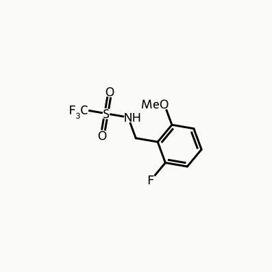 COc1cccc(F)c1CNS(=O)(=O)C(F)(F)F